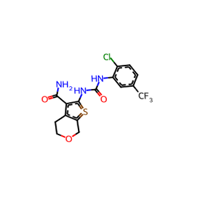 NC(=O)c1c(NC(=O)Nc2cc(C(F)(F)F)ccc2Cl)sc2c1CCOC2